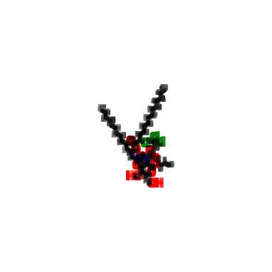 C=CCO[C@H]1O[C@H](CO)[C@@H](O)[C@H](OC(=O)C[C@@H](CCCCCCCCCCC)OC(=O)CCCCCCCCCCCCC)[C@H]1NC(=O)OCC(Cl)(Cl)Cl